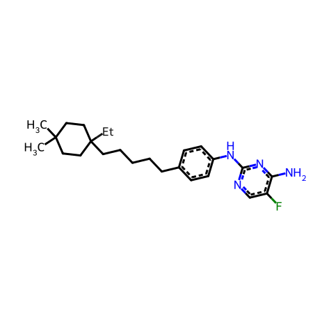 CCC1(CCCCCc2ccc(Nc3ncc(F)c(N)n3)cc2)CCC(C)(C)CC1